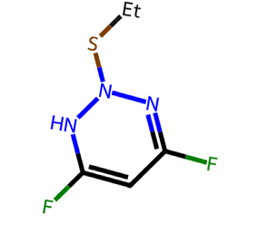 CCSN1N=C(F)C=C(F)N1